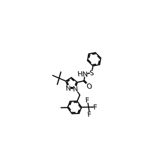 Cc1ccc(C(F)(F)F)c(Cn2nc(C(C)(C)C)cc2C(=O)NSc2ccccc2)c1